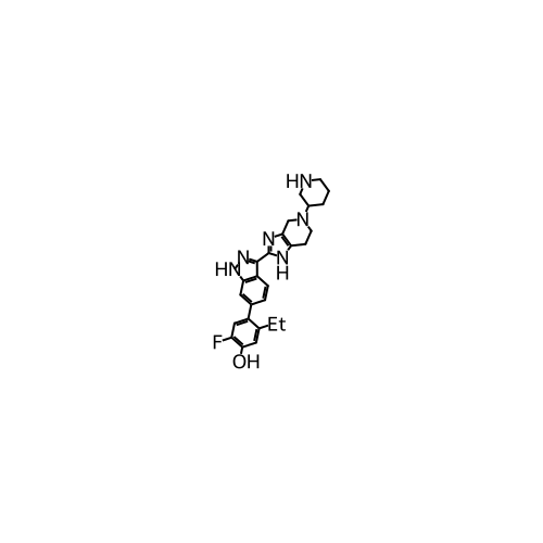 CCc1cc(O)c(F)cc1-c1ccc2c(-c3nc4c([nH]3)CCN(C3CCCNC3)C4)n[nH]c2c1